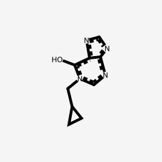 Oc1c2ncnc-2ncn1CC1CC1